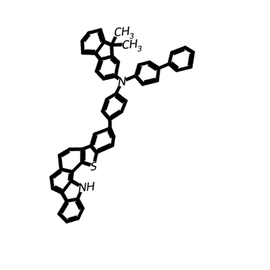 CC1(C)c2ccccc2-c2ccc(N(c3ccc(-c4ccccc4)cc3)c3ccc(-c4ccc5sc6c(ccc7ccc8c9ccccc9[nH]c8c76)c5c4)cc3)cc21